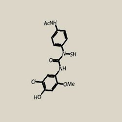 COc1cc(O)c(Cl)cc1NC(=O)N(S)c1ccc(NC(C)=O)cc1